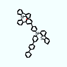 c1ccc(-c2ccc(-c3ccc(N(c4ccc(-c5cccc(-c6ccccc6-n6c7ccccc7c7ccccc76)c5)cc4)c4cccc5c4sc4ccccc45)cc3)cc2)cc1